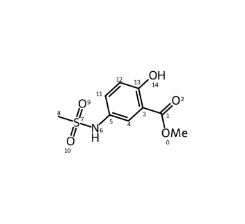 COC(=O)c1cc(NS(C)(=O)=O)ccc1O